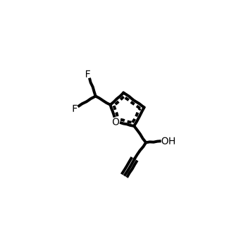 C#CC(O)c1ccc(C(F)F)o1